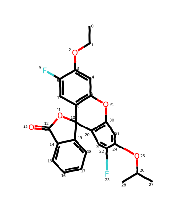 CCOc1cc2c(cc1F)C1(OC(=O)c3ccccc31)c1cc(F)c(OC(C)C)cc1O2